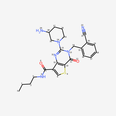 CCCCNC(=O)c1csc2c(=O)n(Cc3ccccc3C#N)c(N3CCCC(N)C3)nc12